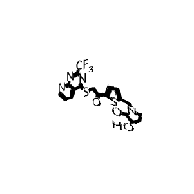 O=C(CSc1nc(C(F)(F)F)nc2ncccc12)c1ccc(CN2CC[C@H](O)C2=O)s1